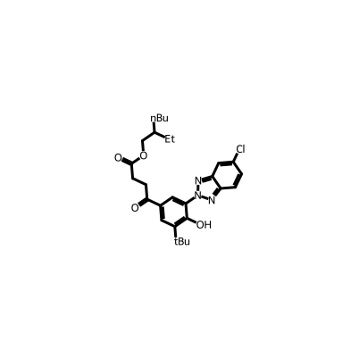 CCCCC(CC)COC(=O)CCC(=O)c1cc(-n2nc3ccc(Cl)cc3n2)c(O)c(C(C)(C)C)c1